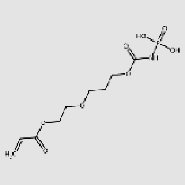 C=CC(=O)OCCOCCCOC(=O)NP(=O)(O)O